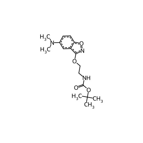 CN(C)c1ccc2onc(OCCNC(=O)OC(C)(C)C)c2c1